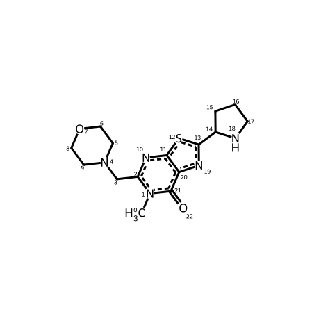 Cn1c(CN2CCOCC2)nc2sc(C3CCCN3)nc2c1=O